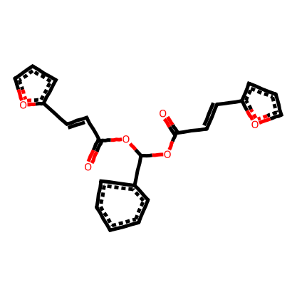 O=C(C=Cc1ccco1)OC(OC(=O)C=Cc1ccco1)c1ccccc1